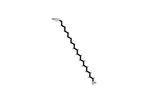 O=C(O)CCCCCCCCCCCCCCCCCCCCCO